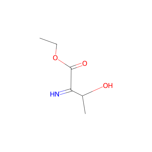 CCOC(=O)C(=N)C(C)O